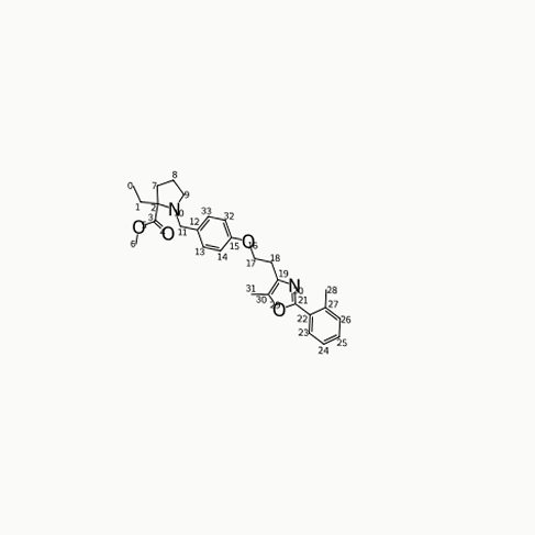 CCC1(C(=O)OC)CCCN1Cc1ccc(OCCc2nc(-c3ccccc3C)oc2C)cc1